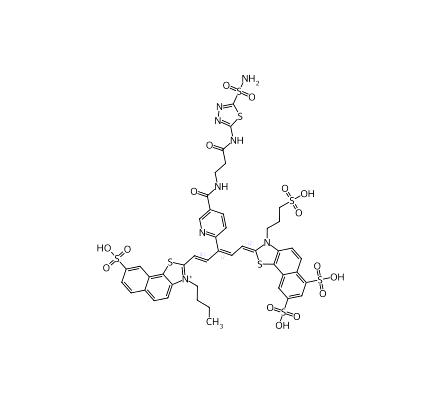 CCCC[n+]1c(/C=C/C(=C/C=C2\Sc3c(ccc4c(S(=O)(=O)O)cc(S(=O)(=O)O)cc34)N2CCCS(=O)(=O)O)c2ccc(C(=O)NCCC(=O)Nc3nnc(S(N)(=O)=O)s3)cn2)sc2c3cc(S(=O)(=O)O)ccc3ccc21